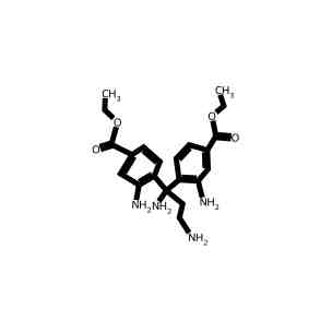 CCOC(=O)c1ccc(C(N)(CCN)c2ccc(C(=O)OCC)cc2N)c(N)c1